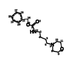 O=C(NCCCCN1CCOCC1)OCc1ccccc1